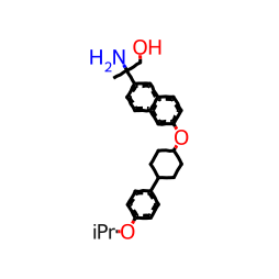 CC(C)Oc1ccc(C2CCC(Oc3ccc4cc(C(C)(N)CO)ccc4c3)CC2)cc1